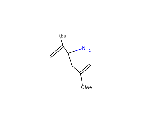 C=C(CC(N)C(=C)C(C)(C)C)OC